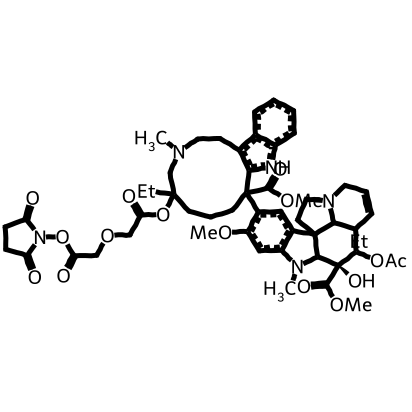 CCC1(OC(=O)COCC(=O)ON2C(=O)CCC2=O)CCCC(C(=O)OC)(c2cc3c(cc2OC)N(C)C2C34CCN3CC=C[C@](CC)(C34)C(OC(C)=O)[C@]2(O)C(=O)OC)c2[nH]c3ccccc3c2CCN(C)C1